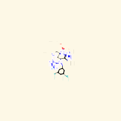 CCOC(=O)N1c2c(c(C)nn2C)C(N(Cc2cc(C(F)(F)F)cc(C(F)(F)F)c2)c2nnn[nH]2)CC1CC